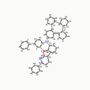 c1ccc(-c2ccc(N(c3ccc4c(c3)-c3ccccc3-c3ccccc3-c3ccccc3-4)c3cccc4c3oc3nc(-c5ccccc5)ccc34)cc2)cc1